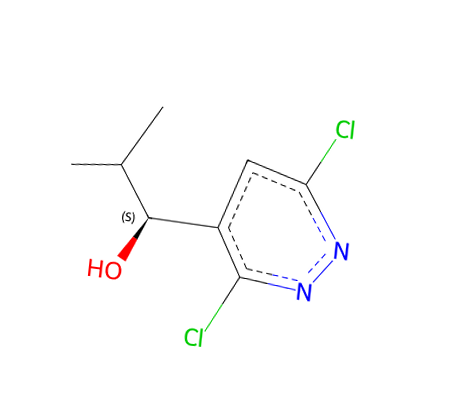 CC(C)[C@H](O)c1cc(Cl)nnc1Cl